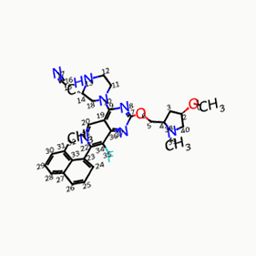 CO[C@@H]1CC(COc2nc(N3CCN[C@@H](CC#N)C3)c3cnc(-c4cccc5cccc(C)c45)c(F)c3n2)N(C)C1